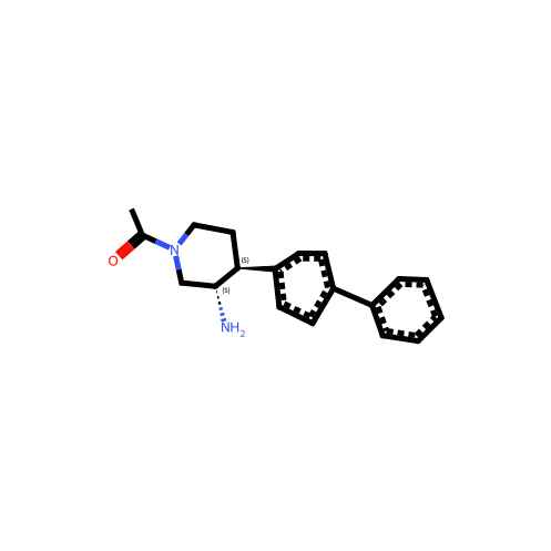 CC(=O)N1CC[C@@H](c2ccc(-c3ccccc3)cc2)[C@H](N)C1